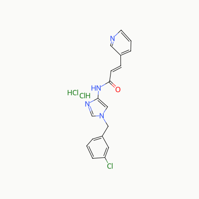 Cl.Cl.O=C(/C=C/c1cccnc1)Nc1cn(Cc2cccc(Cl)c2)cn1